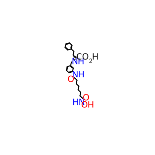 O=C(CCCCCCC(=O)Nc1cccc(CN[C@@H](CCc2ccccc2)C(=O)O)c1)NO